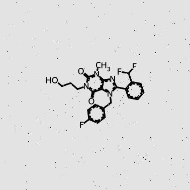 Cn1c(=O)n(CCCO)c(=O)c2c1nc(-c1ccccc1C(F)F)n2Cc1ccc(F)cc1